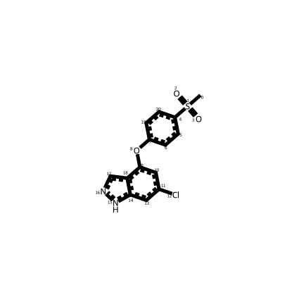 CS(=O)(=O)c1ccc(Oc2cc(Cl)cc3[nH]ncc23)cc1